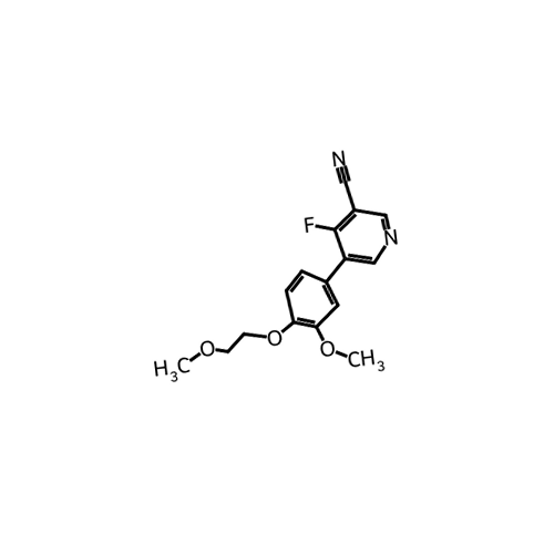 COCCOc1ccc(-c2cncc(C#N)c2F)cc1OC